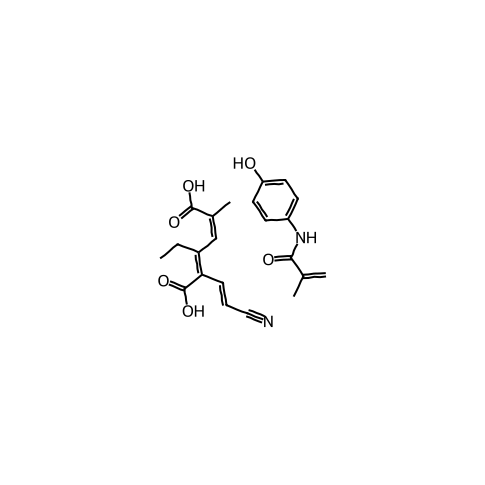 C=C(C)C(=O)Nc1ccc(O)cc1.CCC(C=C(C)C(=O)O)=C(C=CC#N)C(=O)O